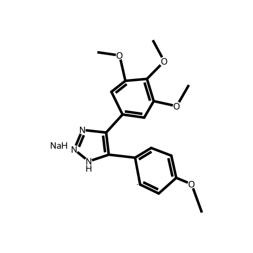 COc1c[c]c(-c2[nH]nnc2-c2cc(OC)c(OC)c(OC)c2)cc1.[NaH]